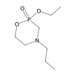 CCCN1CCOP(=O)(OCC)C1